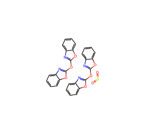 O=S=O.c1ccc2oc(Oc3nc4ccccc4o3)nc2c1.c1ccc2oc(Oc3nc4ccccc4o3)nc2c1